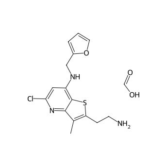 Cc1c(CCN)sc2c(NCc3ccco3)cc(Cl)nc12.O=CO